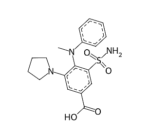 CN(c1ccccc1)c1c(N2CCCC2)cc(C(=O)O)cc1S(N)(=O)=O